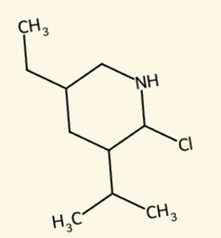 CCC1CNC(Cl)C(C(C)C)C1